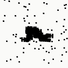 COc1cc(C(=O)NCC(O)(c2cc3c(c(-c4ccc(CO)nc4)n2)OCC3(C)N)C(F)(F)F)ccc1OCCO